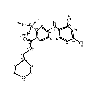 O=C(NCC1CCOCC1)c1ccc(Nc2ccc(Cl)cc2Cl)cc1C(F)(F)F